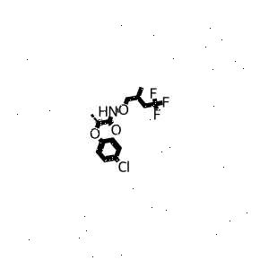 CC(CONC(=O)[C@H](C)Oc1ccc(Cl)cc1)CC(F)(F)F